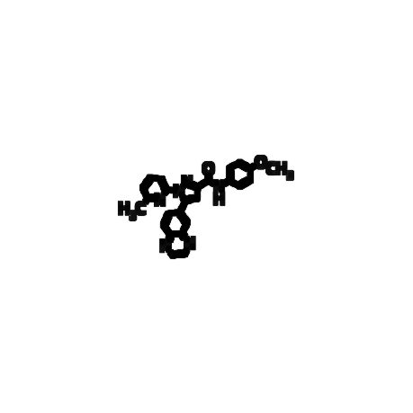 COc1ccc(NC(=O)c2cc(-c3ccc4nccnc4c3)n(-c3cccc(C)n3)n2)cc1